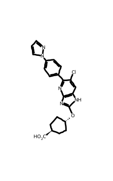 O=C(O)[C@H]1CC[C@H](Oc2nc3nc(-c4ccc(-n5cccn5)cc4)c(Cl)cc3[nH]2)CC1